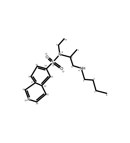 CCCCNCC(C)N(CC)S(=O)(=O)c1ccc2cnccc2c1